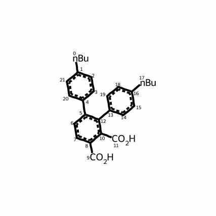 CCCCc1ccc(-c2ccc(C(=O)O)c(C(=O)O)c2-c2ccc(CCCC)cc2)cc1